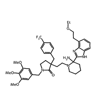 CCOCCc1cccc2[nH]c(C3(N)CCCCN3CCC3(Cc4ccc(C(F)(F)F)cc4)CCN(Cc4cc(OC)c(OC)c(OC)c4)C3=O)nc12